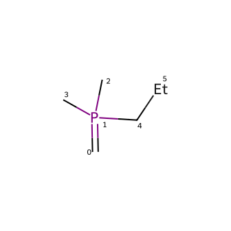 C=P(C)(C)CCC